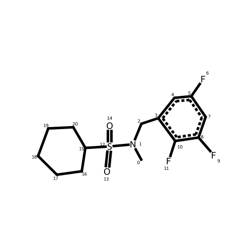 CN(Cc1cc(F)cc(F)c1F)S(=O)(=O)C1CCCCC1